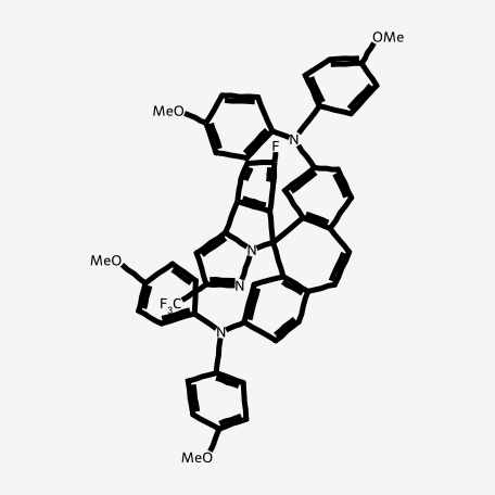 COc1ccc(N(c2ccc(OC)cc2)c2ccc3c(c2)C2(c4cc(N(c5ccc(OC)cc5)c5ccc(OC)cc5)ccc4C=C3)c3cc(F)ccc3-c3cc(C(F)(F)F)nn32)cc1